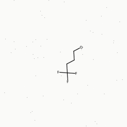 [O]CCCC(F)(F)F